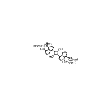 CCCCCC1(CCCCC)Nc2cccc3c(C4C(O)C(c5ccc6c7c(cccc57)NC(CCCCC)(CCCCC)N6)C4O)ccc(c23)N1